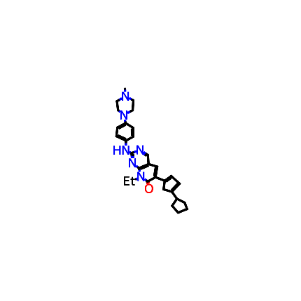 CCn1c(=O)c(C2=CC=C(C3CCCC3)C2)cc2cnc(Nc3ccc(N4CCN(C)CC4)cc3)nc21